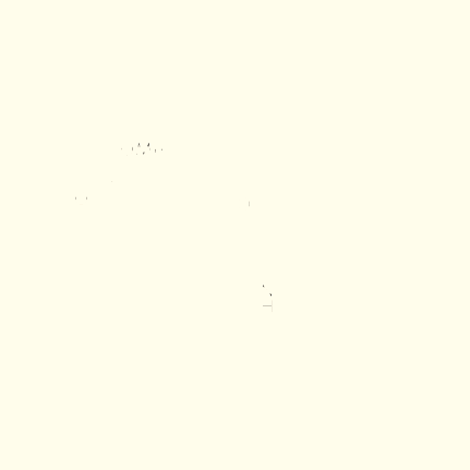 COC(=O)c1ccc2c(c1)OC[C@H](C1(C)C=CC=CC1)NC2